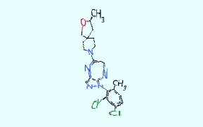 Cc1ccc(Cl)c(Cl)c1-n1ncc2nc(N3CCC4(CC3)CO[C@@H](C)C4)cnc21